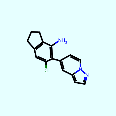 Nc1c2c(cc(Cl)c1-c1ccn3nccc3c1)CCC2